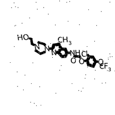 Cc1cc(N2CCCN(CCO)CC2)nc2ccc(NC(=O)COc3ccc(OC(F)(F)F)cc3Cl)cc12